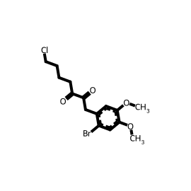 COc1cc(Br)c(CC(=O)C(=O)CCCCCl)cc1OC